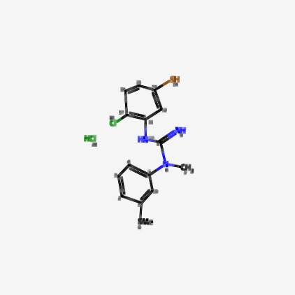 CSc1cccc(N(C)C(=N)Nc2cc(S)ccc2Cl)c1.Cl